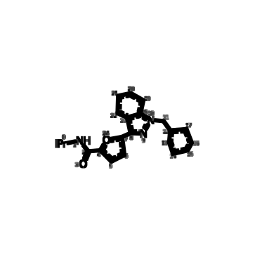 CC(C)NC(=O)c1ccc(-c2nn(Cc3ccccc3)c3ccccc23)o1